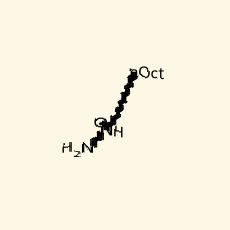 CCCCCCCCC=CCCCCCCCCCCCC(=O)NCCCCN